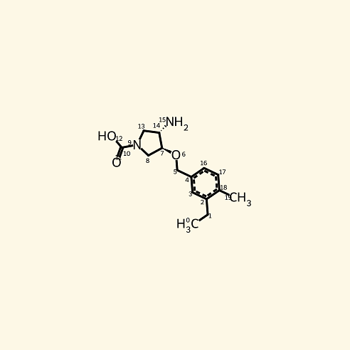 CCc1cc(CO[C@H]2CN(C(=O)O)C[C@@H]2N)ccc1C